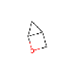 C1OC2CC12